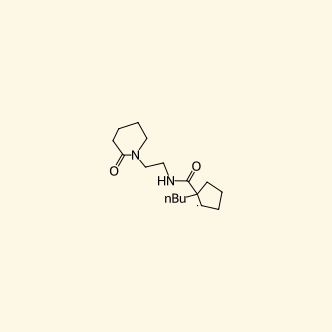 CCCCC1(C(=O)NCCN2CCCCC2=O)[CH]CCC1